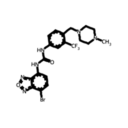 CN1CCN(Cc2ccc(NC(=O)Nc3ccc(Br)c4nonc34)cc2C(F)(F)F)CC1